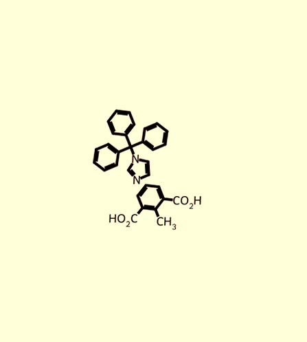 Cc1c(C(=O)O)cccc1C(=O)O.c1ccc(C(c2ccccc2)(c2ccccc2)n2ccnc2)cc1